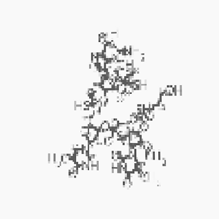 COC1C(OP(=O)(S)OCCCO)[C@@H](COP(=O)(S)OC2C[C@H](N3C=C(C)C(=O)NC3)O[C@@H]2COP(=O)(S)OC2C[C@H](n3cnc4c(=O)[nH]c(N)nc43)O[C@@H]2COP(=O)(S)OC(C)C)O[C@H]1n1cc(C)c(=O)[nH]c1=O